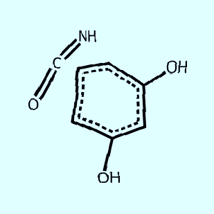 N=C=O.Oc1cccc(O)c1